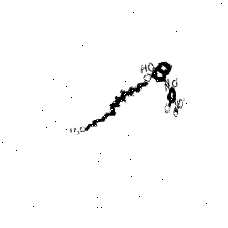 CCCCCCCCCCCCCCCCCCOc1cc(/N=N/c2cc(Cl)c([N+](=O)[O-])cc2Cl)c2ccccc2c1O